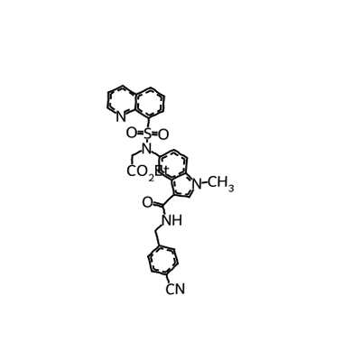 CCOC(=O)CN(c1ccc2c(c1)c(C(=O)NCc1ccc(C#N)cc1)cn2C)S(=O)(=O)c1cccc2cccnc12